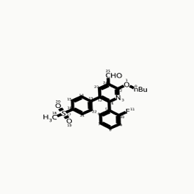 CCCCOc1nc(-c2ccccc2F)c(-c2ccc(S(C)(=O)=O)cc2)cc1C=O